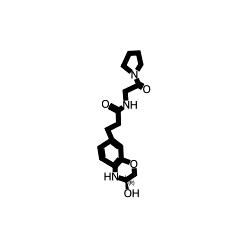 O=C(CCc1ccc2c(c1)OC[C@@H](O)N2)NCC(=O)N1CCCC1